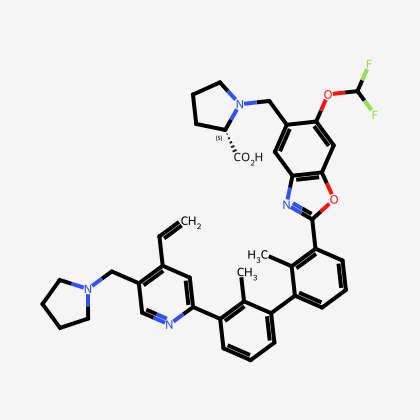 C=Cc1cc(-c2cccc(-c3cccc(-c4nc5cc(CN6CCC[C@H]6C(=O)O)c(OC(F)F)cc5o4)c3C)c2C)ncc1CN1CCCC1